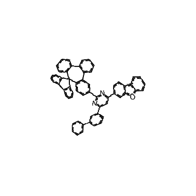 c1ccc(-c2cccc(-c3cc(-c4ccc5c(c4)oc4ccccc45)nc(-c4ccc5c(c4)-c4ccccc4-c4ccccc4C54c5ccccc5-c5ccccc54)n3)c2)cc1